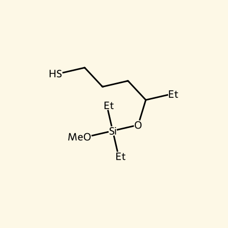 CCC(CCCS)O[Si](CC)(CC)OC